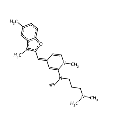 CCCN(CCCN(C)C)C1=C/C(=C/c2oc3ccc(C)cc3[n+]2C)C=CN1C